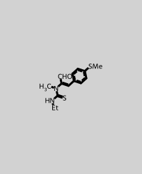 CCNC(=S)N(C)/C(C=O)=C/c1ccc(SC)cc1